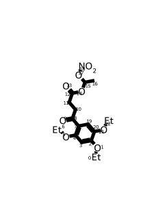 CCOc1cc(OCC)c(C(=O)CCC(=O)OC(C)O[N+](=O)[O-])cc1OCC